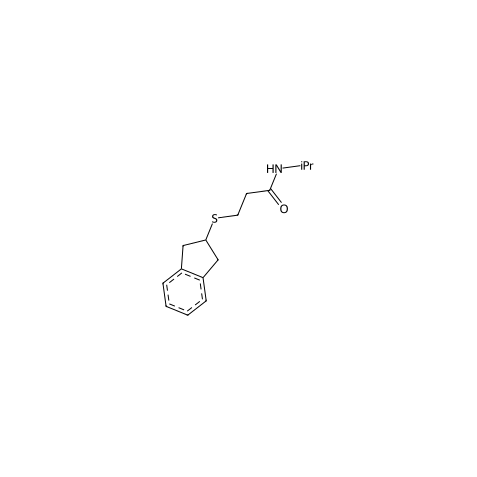 CC(C)NC(=O)CCSC1Cc2ccccc2C1